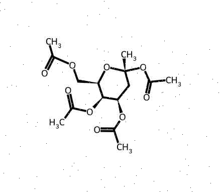 CC(=O)OC[C@H]1O[C@](C)(OC(C)=O)C[C@@H](OC(C)=O)[C@H]1OC(C)=O